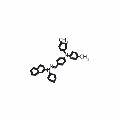 Cc1ccc(N(c2ccc(C)cc2)c2ccc(/C=N/N(c3ccccc3)c3ccc4ccccc4c3)cc2)cc1